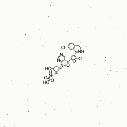 O=C(c1cc([C@H]2NCCc3ccc(Cl)cc32)c(Cl)o1)c1cncnc1N[C@@H]1C[C@H](CNS(=O)(=O)O)[C@@H](O)C1